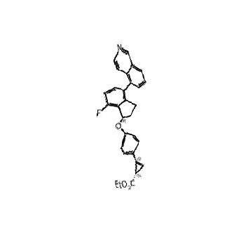 CCOC(=O)[C@H]1C[C@@H]1c1ccc(O[C@@H]2CCc3c(-c4cccc5cnccc45)ccc(F)c32)cc1